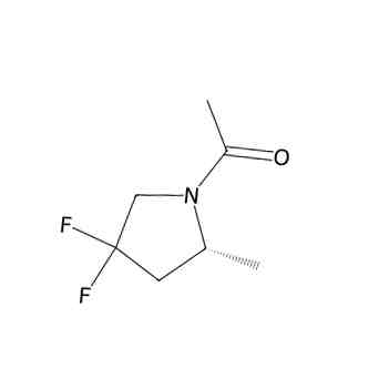 CC(=O)N1CC(F)(F)C[C@H]1C